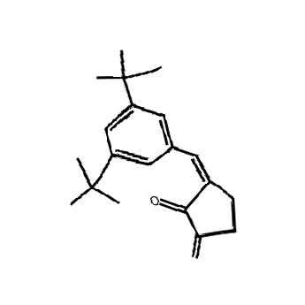 C=C1CCC(=Cc2cc(C(C)(C)C)cc(C(C)(C)C)c2)C1=O